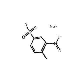 Cc1ccc(S(=O)(=O)[O-])cc1[N+](=O)[O-].[Na+]